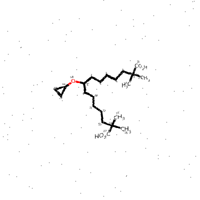 CC(C)(CCCCCC(CCCCCC(C)(C)C(=O)O)OC1CC1)C(=O)O